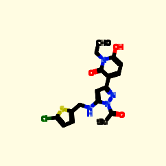 CC(C)(C)C(=O)n1nc(-c2ccc(O)n(CC=O)c2=O)cc1NCc1ccc(Cl)s1